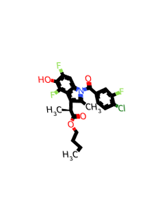 CCCCOC(=O)[C@@H](C)c1c(C)n(C(=O)c2ccc(Cl)c(F)c2)c2cc(F)c(O)c(F)c12